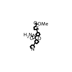 COC(=O)c1ccc(-c2ccc3c(c2)[C@]2(COC(N)=N2)c2cc(-c4cccnc4)ccc2O3)s1